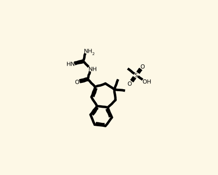 CC1(C)CC(C(=O)NC(=N)N)=Cc2ccccc2C1.CS(=O)(=O)O